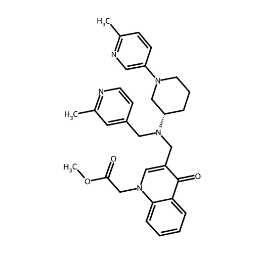 COC(=O)Cn1cc(CN(Cc2ccnc(C)c2)[C@H]2CCCN(c3ccc(C)nc3)C2)c(=O)c2ccccc21